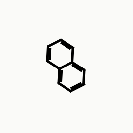 [c]1[c]cc2ccc[c]c2c1